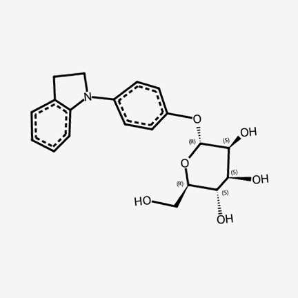 OC[C@H]1O[C@H](Oc2ccc(N3CCc4ccccc43)cc2)[C@@H](O)[C@@H](O)[C@@H]1O